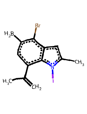 Bc1cc(C(=C)C)c2c(cc(C)n2I)c1Br